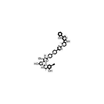 C#Cc1ccc([C@H](C)NC(=O)[C@@H]2C[C@@H](O)CN2C(=O)[C@@H](NC(=O)N2CCC(N3CCC(c4cnc(N5CCc6[nH]c7nnc(-c8ccccc8O)cc7c6[C@H]5C)nc4)CC3)CC2)C(C)(C)C)c(O)c1